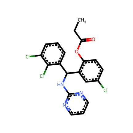 CCC(=O)Oc1ccc(Cl)cc1C(Nc1ncccn1)c1cccc(Cl)c1Cl